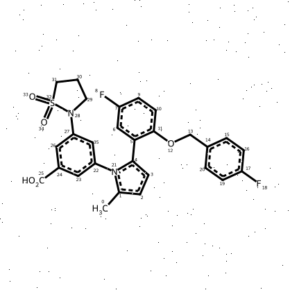 Cc1ccc(-c2cc(F)ccc2OCc2ccc(F)cc2)n1-c1cc(C(=O)O)cc(N2CCCS2(=O)=O)c1